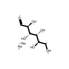 O=C[C@@H](O)[C@@H](O)[C@H](O)[C@H](O)CO.[Na].[Na]